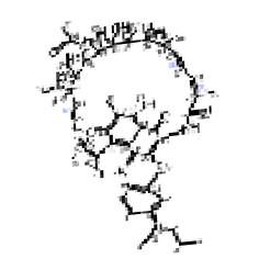 CCCN(C)c1ccc2nc3c4c5c6c(C)c(O)c4c(=O)c(c-3sc2c1)NC(=O)/C(C)=C\C=C\[C@H](C)[C@H](O)[C@@H](C)[C@@H](O)[C@@H](C)[C@H](OC(C)=O)[C@H](C)[C@@H](OC)/C=C/O[C@@](C)(O6)C5=O